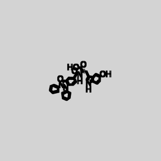 O=C(N[C@@H](Cc1c[nH]c2ccc(O)cc12)C(=O)O)c1ccc2c(c1)c(=O)n(-c1ccccc1)n2-c1ccccc1